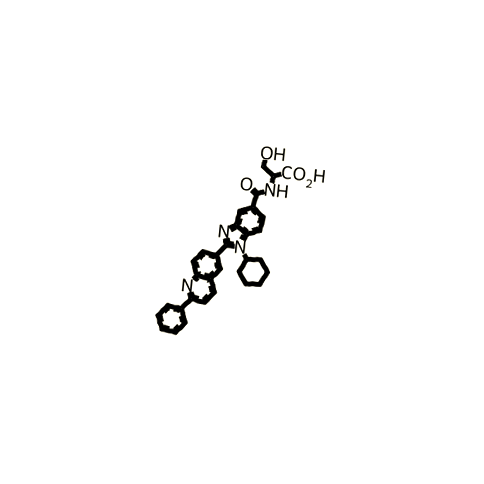 O=C(NC(CO)C(=O)O)c1ccc2c(c1)nc(-c1ccc3nc(-c4ccccc4)ccc3c1)n2C1CCCCC1